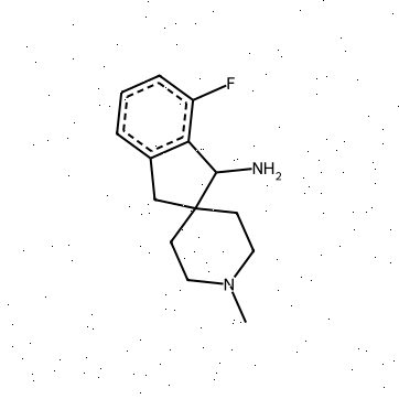 CN1CCC2(CC1)Cc1cccc(F)c1C2N